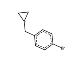 Brc1ccc(C[C]2CC2)cc1